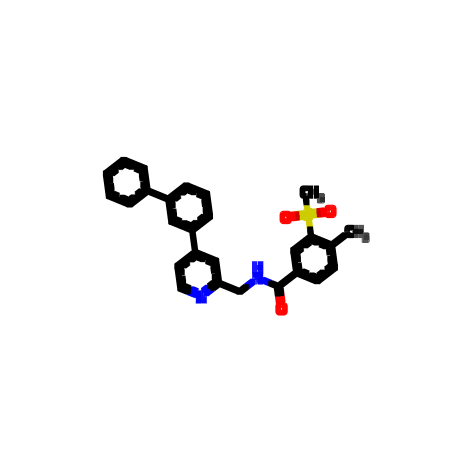 Cc1ccc(C(=O)NCc2cc(-c3cccc(-c4ccccc4)c3)ccn2)cc1S(C)(=O)=O